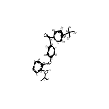 CC(C)Oc1ccccc1Oc1ccc(C(=O)c2ccc(C(C)(C)C)cc2)cc1